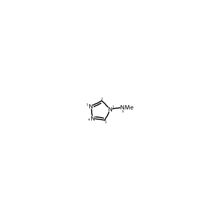 CNn1cnnc1